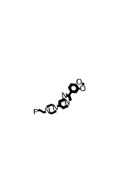 FCCN1CCN(c2ccn3cc(-c4ccc5c(c4)OCO5)nc3c2)CC1